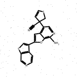 N#CC1(c2cnc(N)c3oc(-c4csc5cnccc45)cc23)C=CSC1